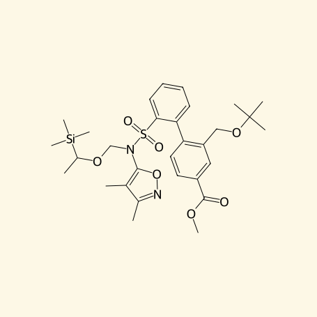 COC(=O)c1ccc(-c2ccccc2S(=O)(=O)N(COC(C)[Si](C)(C)C)c2onc(C)c2C)c(COC(C)(C)C)c1